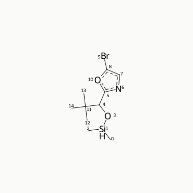 C[SiH](C)OC(c1ncc(Br)o1)C(C)(C)C